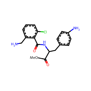 COC(=O)C(Cc1ccc(N)cc1)NC(=O)c1c(Cl)cccc1CN